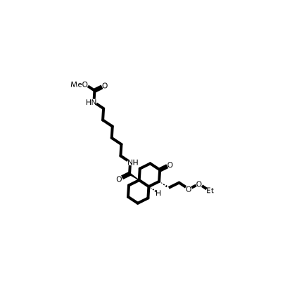 CCOOCC[C@H]1C(=O)CC[C@@]2(C(=O)NCCCCCCNC(=O)OC)CCCC[C@H]12